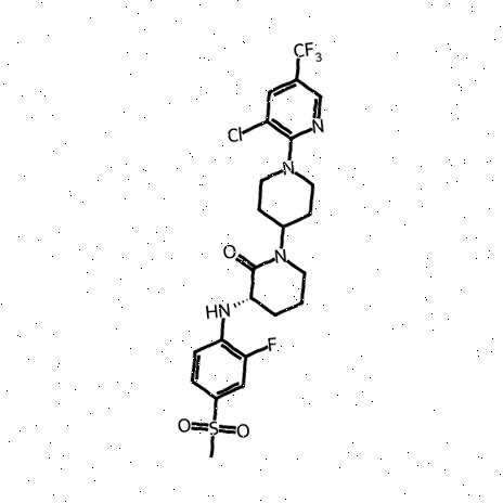 CS(=O)(=O)c1ccc(N[C@H]2CCCN(C3CCN(c4ncc(C(F)(F)F)cc4Cl)CC3)C2=O)c(F)c1